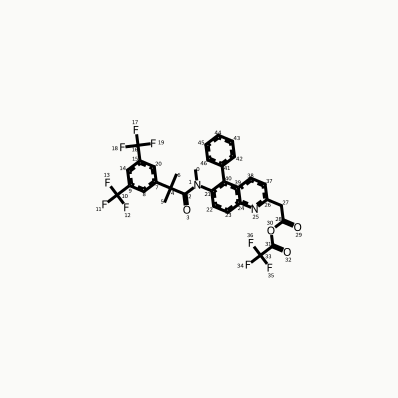 CN(C(=O)C(C)(C)c1cc(C(F)(F)F)cc(C(F)(F)F)c1)c1ccc2nc(CC(=O)OC(=O)C(F)(F)F)ccc2c1-c1ccccc1